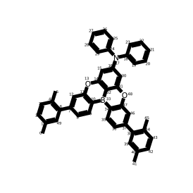 Cc1ccc(C)c(-c2ccc3c(c2)Oc2cc(N(c4ccccc4)c4ccccc4)cc4c2B3c2ccc(-c3cc(C)ccc3C)cc2O4)c1